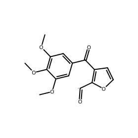 COc1cc(C(=O)c2ccoc2[C]=O)cc(OC)c1OC